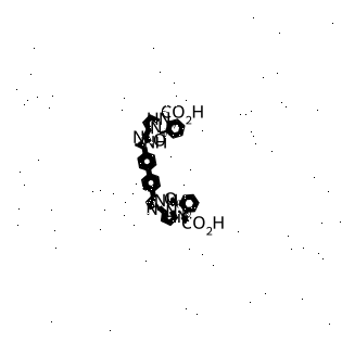 O=C(O)N[C@@H]1CCCC[C@H]1C(=O)N1CCCC1c1ncc(-c2ccc(-c3ccc(-c4cnc(C5CCCN5C(=O)[C@@H]5CCCC[C@H]5NC(=O)O)[nH]4)cc3)cc2)[nH]1